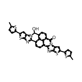 Cc1ccc(-c2cc3c(nc4n3C(O)c3ccc5c(=O)n6c7cc(-c8ccc(C)s8)sc7nc6c6ccc-4c3c56)s2)s1